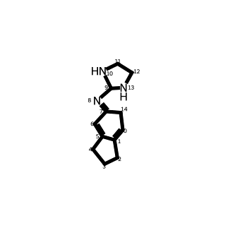 C1=C2CCCC2=CC(=NC2NCCN2)C1